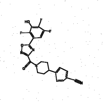 N#Cc1ccc(C2CCN(C(=O)c3noc(-c4cc(F)c(F)c(O)c4F)n3)CC2)cc1